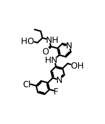 CCC(CO)NC(=O)c1cnccc1Nc1cc(-c2cc(Cl)ccc2F)ncc1CO